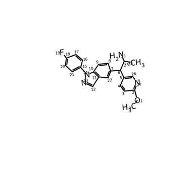 COc1ccc(C(c2ccc3c(cnn3-c3ccc(F)cc3)c2)C(C)N)cn1